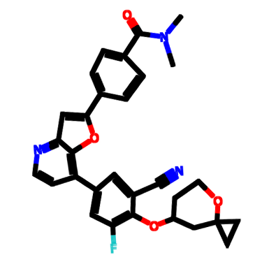 CN(C)C(=O)c1ccc(-c2cc3nccc(-c4cc(F)c(OC5CCOC6(CC6)C5)c(C#N)c4)c3o2)cc1